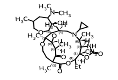 CC[C@H]1OC(=O)[C@@]2(C)CCO[C@@](C)(C[C@@H](C)CN(C3CC3)[C@H](C)[C@H]3NC(=O)O[C@@]31C)[C@H](O[C@@H]1OCC(C)CC(N(C)C)C1O)[C@@H](C)C2=O